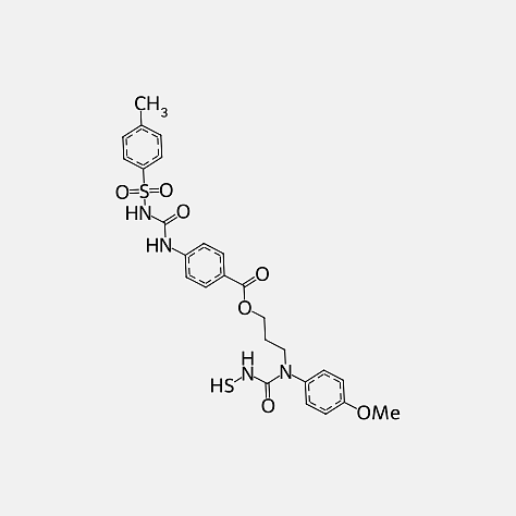 COc1ccc(N(CCCOC(=O)c2ccc(NC(=O)NS(=O)(=O)c3ccc(C)cc3)cc2)C(=O)NS)cc1